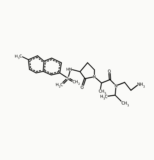 C=S(=C)(NC1CCN(C(C)C(=O)N(CCN)C(C)C)C1=O)c1ccc2cc(C)ccc2c1